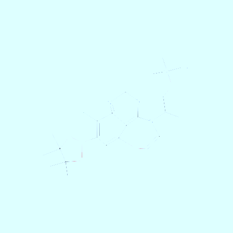 CC(CO[Si](C)(C)C(C)(C)C)N1C=COc2cc(B3OC(C)(C)C(C)(C)O3)c(Cl)c3c2=C1NCN=3